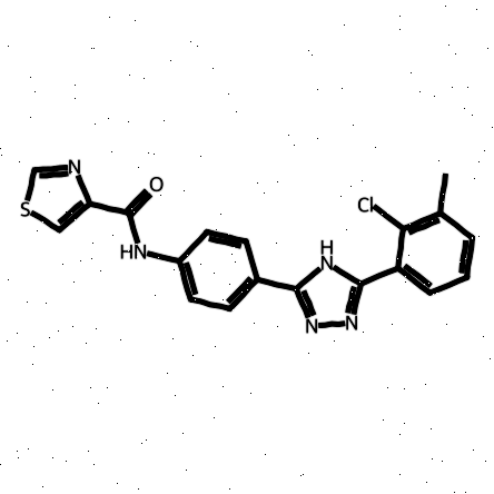 Cc1cccc(-c2nnc(-c3ccc(NC(=O)c4cscn4)cc3)[nH]2)c1Cl